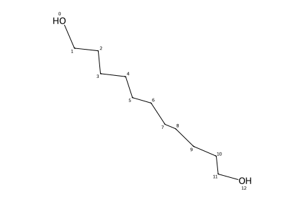 OCCCCCCCCCCCO